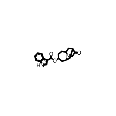 O=C(OC1CCC2CC3CC(C1)N2CC3=O)c1c[nH]c2ccccc12